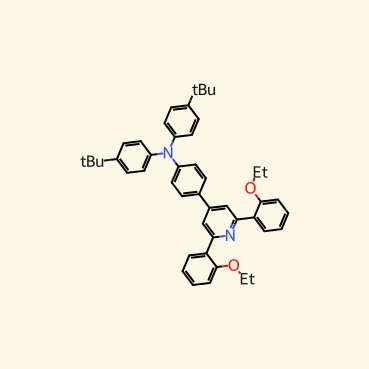 CCOc1ccccc1-c1cc(-c2ccc(N(c3ccc(C(C)(C)C)cc3)c3ccc(C(C)(C)C)cc3)cc2)cc(-c2ccccc2OCC)n1